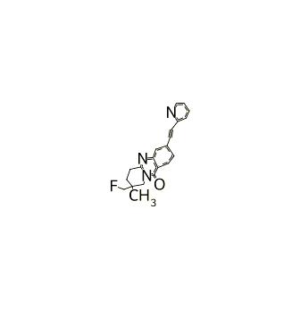 CC1(CF)CCc2nc3cc(C#Cc4ccccn4)ccc3c(=O)n2C1